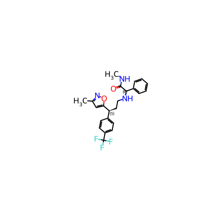 CNC(=O)[C@H](NCC[C@@H](c1ccc(C(F)(F)F)cc1)c1cc(C)no1)c1ccccc1